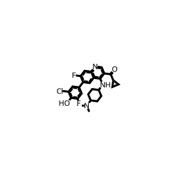 CN(C)C1CCC(Nc2c(C(=O)C3CC3)cnc3cc(F)c(-c4cc(F)c(O)c(Cl)c4)cc23)CC1